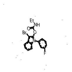 CCNC(=O)Oc1c(Br)c2ccccc2n1-c1cccc(F)c1